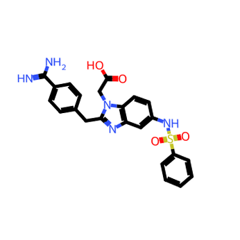 N=C(N)c1ccc(Cc2nc3cc(NS(=O)(=O)c4ccccc4)ccc3n2CC(=O)O)cc1